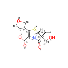 CC[C@@]1([C@@H](C)O)C(=O)N2C(C(=O)O)=C(C3CCOC3)S[C@@H]21